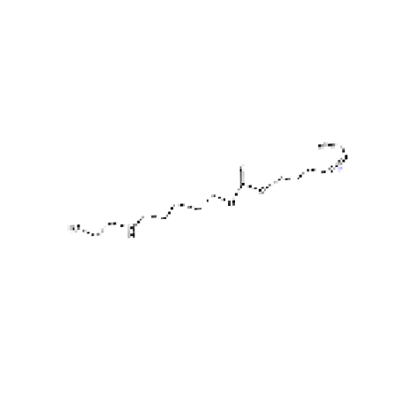 CCCCC/C=C\CCCOC(=O)OCCCCCNCCO